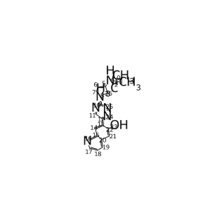 CC(C)(C)NC1CCN(c2ncc(-c3cc4ncccc4cc3O)nn2)C1